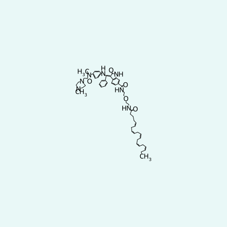 CC/C=C\C/C=C\C/C=C\C/C=C\C/C=C\CCCC(=O)NCCOCCNC(=O)c1ccc2c(c1)NC(=O)/C2=C(\Nc1ccc(N(C)C(=O)CN2CCN(C)CC2)cc1)c1ccccc1